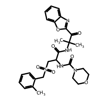 Cc1ccccc1CS(=O)(=O)CC(NC(=O)N1CCOCC1)C(=O)NC(C)(C)C(=O)c1nc2ccccc2o1